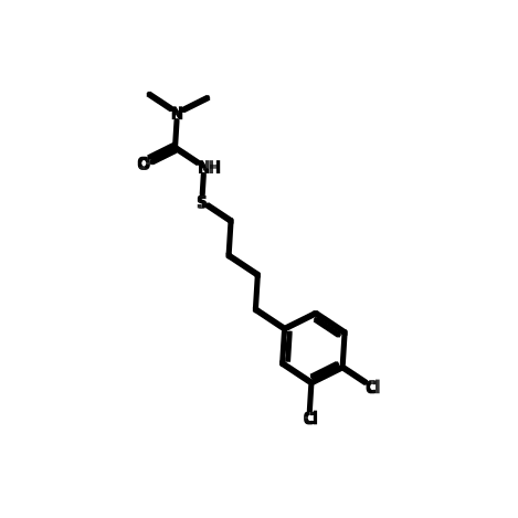 CN(C)C(=O)NSCCCCc1ccc(Cl)c(Cl)c1